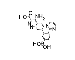 Nc1c(C(=O)O)nnc2cc(-c3cc(B(O)O)ccc3-c3ncccn3)ccc12